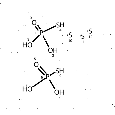 O=P(O)(O)S.O=P(O)(O)S.[S].[S].[S]